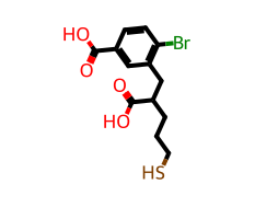 O=C(O)c1ccc(Br)c(CC(CCCS)C(=O)O)c1